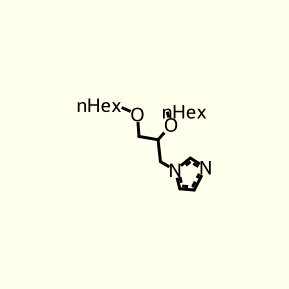 CCCCCCOCC(Cn1ccnc1)OCCCCCC